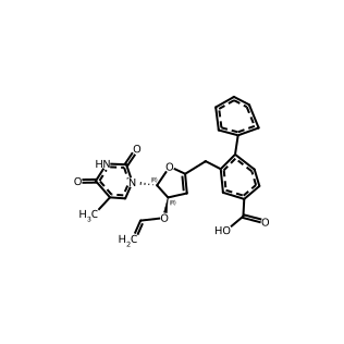 C=CO[C@@H]1C=C(Cc2cc(C(=O)O)ccc2-c2ccccc2)O[C@H]1n1cc(C)c(=O)[nH]c1=O